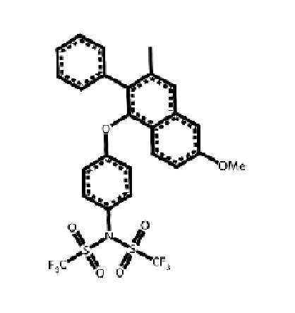 COc1ccc2c(Oc3ccc(N(S(=O)(=O)C(F)(F)F)S(=O)(=O)C(F)(F)F)cc3)c(-c3ccccc3)c(C)cc2c1